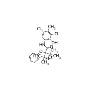 CCC(C)(C)C(Oc1ccccc1)(C(=O)Nc1cc(Cl)c(C)c(Cl)c1O)C(C)(C)CC